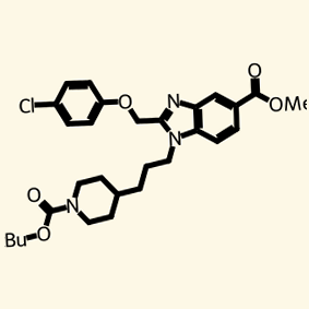 COC(=O)c1ccc2c(c1)nc(COc1ccc(Cl)cc1)n2CCCC1CCN(C(=O)OC(C)(C)C)CC1